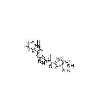 O=C(Nc1nnc(Cc2c[nH]c3ccccc23)s1)c1ccc2c(c1)CCNC2